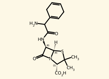 CC1(C)S[C@@H]2[C@H](NC(=O)C(N)C3=CCC=CC3)C(=O)N2[C@H]1C(=O)O